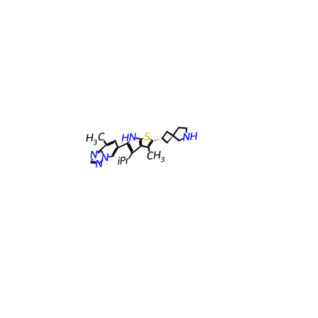 Cc1cc(-c2[nH]c3sc([C@H]4C[C@]5(CCNC5)C4)c(C)c3c2C(C)C)cn2ncnc12